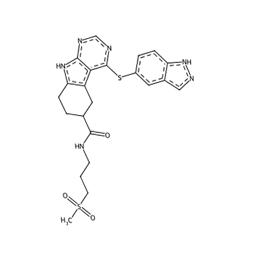 CS(=O)(=O)CCCNC(=O)C1CCc2[nH]c3ncnc(Sc4ccc5[nH]ncc5c4)c3c2C1